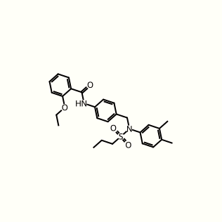 CCCS(=O)(=O)N(Cc1ccc(NC(=O)c2ccccc2OCC)cc1)c1ccc(C)c(C)c1